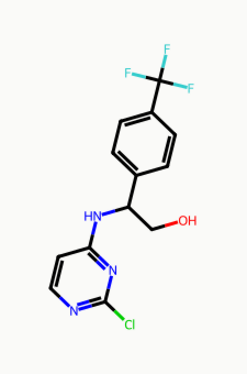 OCC(Nc1ccnc(Cl)n1)c1ccc(C(F)(F)F)cc1